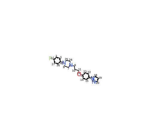 Fc1ccc(N2CCN(CCCOc3ccc(-n4cccn4)cc3)CC2)cc1